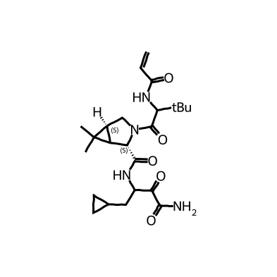 C=CC(=O)NC(C(=O)N1C[C@H]2C([C@H]1C(=O)NC(CC1CC1)C(=O)C(N)=O)C2(C)C)C(C)(C)C